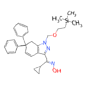 C[Si](C)(C)CCOCn1nc(/C(=N/O)C2CC2)c2c1CC(c1ccccc1)(c1ccccc1)C=C2